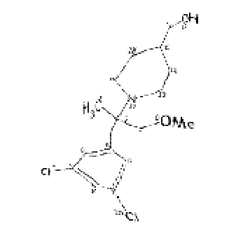 COCC(C)(c1cc(Cl)cc(Cl)c1)N1CCC(CO)CC1